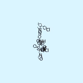 CCC(C)(C1=C(c2ccc(Cl)cc2)CCC(C)(C)C1)N1CCN(c2ccc(C(=O)NS(=O)(=O)c3ccc(N[C@H](CCN4CCCOCC4)CSc4ccccc4)c(S(=O)(=O)C(F)(F)Cl)c3)cc2)CC1